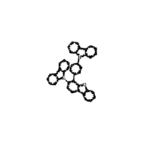 c1ccc2c(c1)oc1c(-c3ccc(-n4c5ccccc5c5ccccc54)cc3)c(-n3c4ccccc4c4ccccc43)ccc12